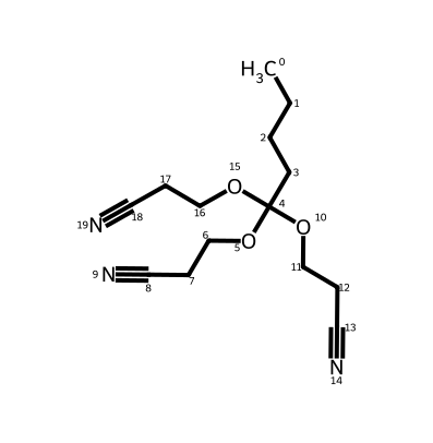 CCCCC(OCCC#N)(OCCC#N)OCCC#N